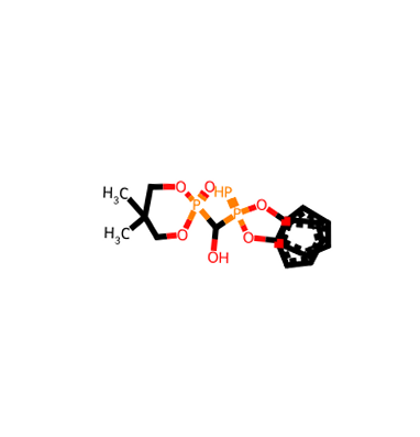 CC1(C)COP(=O)(C(O)P(=P)(Oc2ccccc2)Oc2ccccc2)OC1